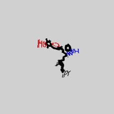 Cc1c(C)c2c(c(C)c1O)CC[C@@](C)(CCC[C@H](C)CCC[C@H](C)CCCC(C)C)O2.c1ccc2[nH]nnc2c1